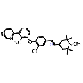 CC1(C)CC(/C=C/c2ccc(Oc3cccc(-c4ccncn4)c3C#N)c(Cl)c2)CC(C)(C)N1O